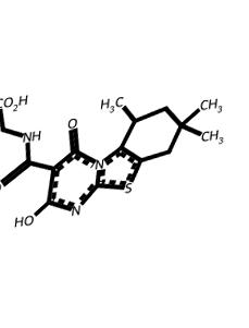 CC1CC(C)(C)Cc2sc3nc(O)c(C(=O)NCC(=O)O)c(=O)n3c21